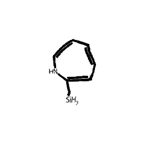 [SiH3]C1=CC=CC=CN1